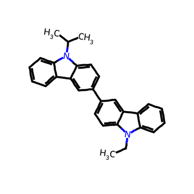 CCn1c2ccccc2c2cc(-c3ccc4c(c3)c3ccccc3n4C(C)C)ccc21